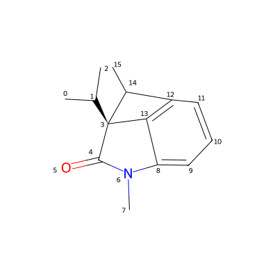 CC(C)[C@]12C(=O)N(C)c3cccc(c31)C2C